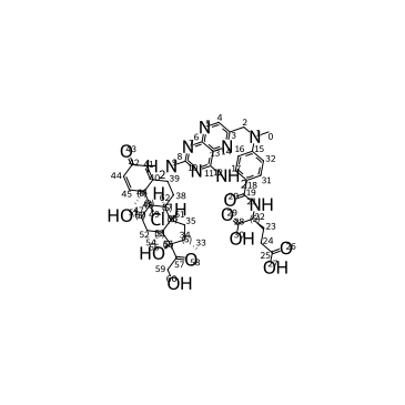 CN(Cc1cnc2nc(N)nc(N)c2n1)c1ccc(C(=O)N[C@@H](CCC(=O)O)C(=O)O)cc1.C[C@H]1C[C@H]2[C@@H]3CCC4=CC(=O)C=C[C@]4(C)[C@@]3(Cl)[C@@H](O)C[C@]2(C)[C@@]1(O)C(=O)CO